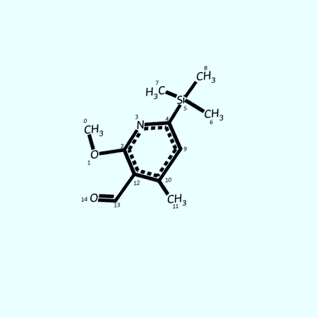 COc1nc([Si](C)(C)C)cc(C)c1C=O